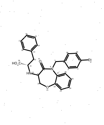 CCc1ccc(CN2C(=O)C(N[C@@H](Cc3ccccc3)C(=O)O)COc3ccccc32)cc1